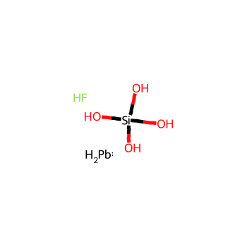 F.O[Si](O)(O)O.[PbH2]